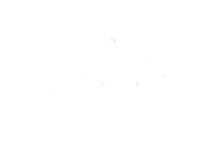 O=c1[nH]cc(Nc2cccc(C(F)(F)F)c2)c2c1C1CCC2C1